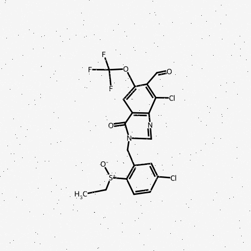 CC[S+]([O-])c1ccc(Cl)cc1Cn1cnc2c(Cl)c(C=O)c(OC(F)(F)F)cc2c1=O